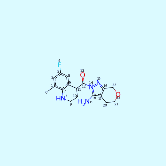 Cc1cc(F)cc2c1NCCC2C(=O)n1nc2c(c1N)CCOC2